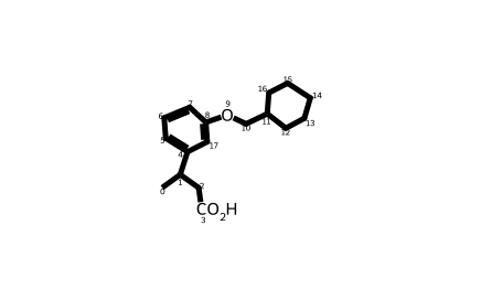 CC(CC(=O)O)c1cccc(OCC2CCCCC2)c1